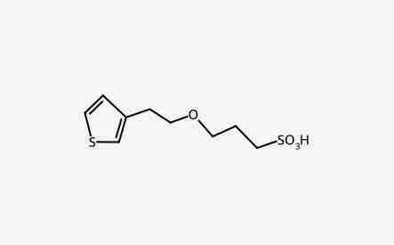 O=S(=O)(O)CCCOCCc1ccsc1